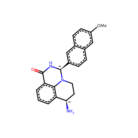 COc1ccc2cc([C@@H]3NC(=O)c4cccc5c4N3CC[C@H]5N)ccc2c1